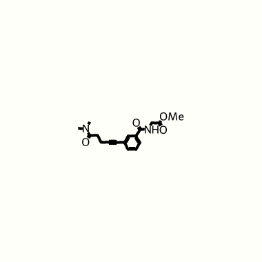 COC(=O)CNC(=O)c1cccc(C#CCCC(=O)N(C)C)c1